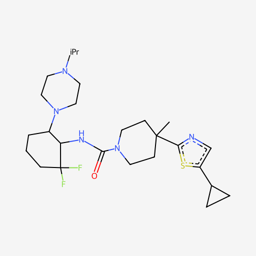 CC(C)N1CCN(C2CCCC(F)(F)C2NC(=O)N2CCC(C)(c3ncc(C4CC4)s3)CC2)CC1